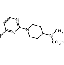 CN(C(=O)O)C1CCN(c2nccc(Cl)n2)CC1